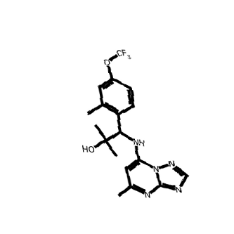 Cc1cc(NC(c2ccc(OC(F)(F)F)cc2C)C(C)(C)O)n2ncnc2n1